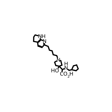 O=C(O)C(NCC1CCCC1)C1(O)CCN(CCCCCc2ccc3c(n2)NCCC3)CC1